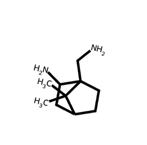 CC1(C)C2CCC1(CN)C(N)C2